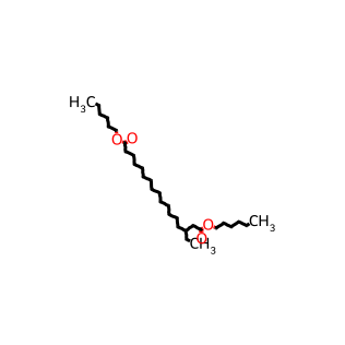 CCCCCCOC(=O)CCCCCCCCCCCCCC(CC)CC(=O)OCCCCCC